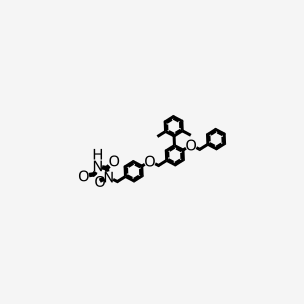 Cc1cccc(C)c1-c1cc(COc2ccc(Cn3oc(=O)[nH]c3=O)cc2)ccc1OCc1ccccc1